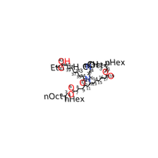 CCCCCCCCC(CCCCCC)COC(=O)CCCCCC(CCCCCC(=O)OCC(CCCCCC)CCCCCCCC)N(CCCN(C)C)C(=O)CCCCCCCC(O)OCC